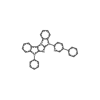 c1ccc(-c2ccc(-n3c4ccccc4n4c5c6ccccc6n(-c6ccccc6)c5nc34)nc2)cc1